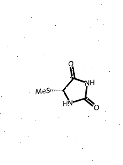 CS[C@H]1NC(=O)NC1=O